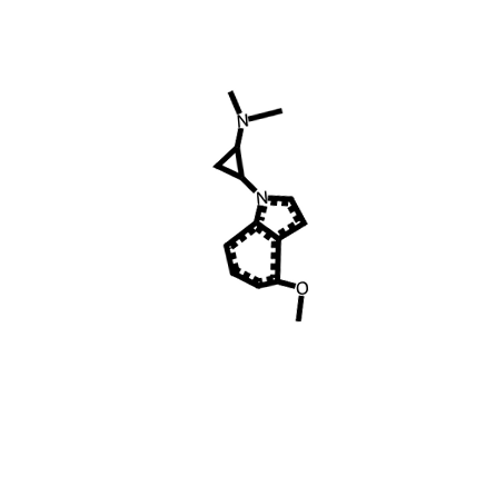 COc1cccc2c1ccn2C1CC1N(C)C